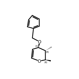 C[C@@H]1[C@@H](C)OC=C[C@H]1OCc1ccccc1